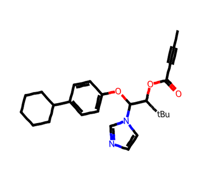 CC#CC(=O)OC(C(Oc1ccc(C2CCCCC2)cc1)n1ccnc1)C(C)(C)C